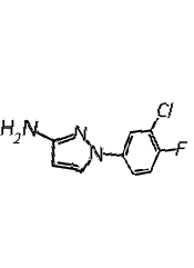 Nc1ccn(-c2ccc(F)c(Cl)c2)n1